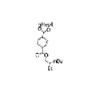 CCCCCCCOC(=O)c1ccc(C(=O)OCC(CC)CCCC)cc1